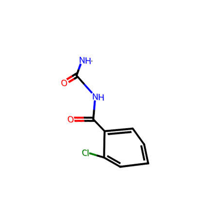 [NH]C(=O)NC(=O)c1ccccc1Cl